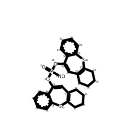 O=NP(=O)(OC1=CC2=C(CCCC2)Sc2ccccc21)OC1=CC2=C(CCCC2)Sc2ccccc21